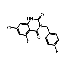 O=c1[nH]c2cc(Cl)cc(Cl)c2c(=O)n1Cc1ccc(F)cc1